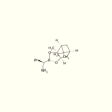 CC(C)[C@H](N)B1O[C@@H]2C[C@@H]3C[C@@H](C3(C)C)[C@]2(C)O1